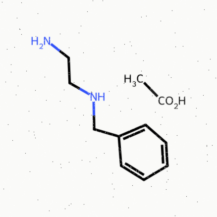 CC(=O)O.NCCNCc1ccccc1